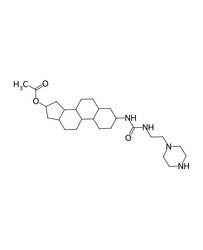 CC(=O)OC1CC2CCC3C4CCC(NC(=O)NCCN5CCNCC5)CC4CCC3C2C1